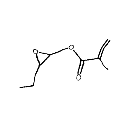 C=C(C)C(=O)OC1OC1CC